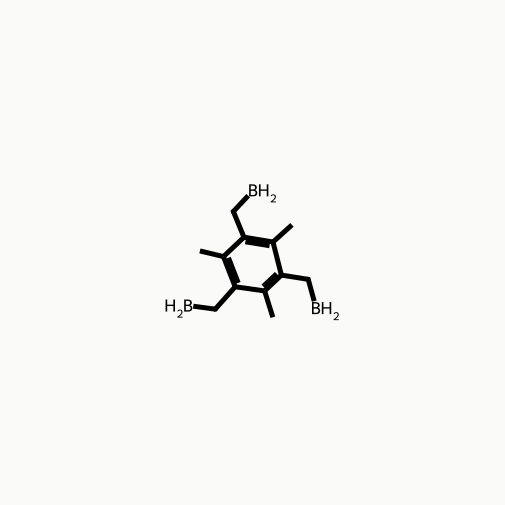 BCc1c(C)c(CB)c(C)c(CB)c1C